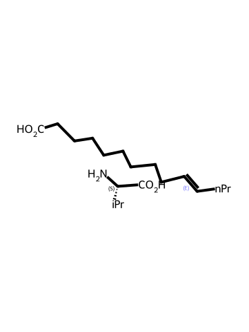 CC(C)[C@H](N)C(=O)O.CCC/C=C/CCCCCCCCC(=O)O